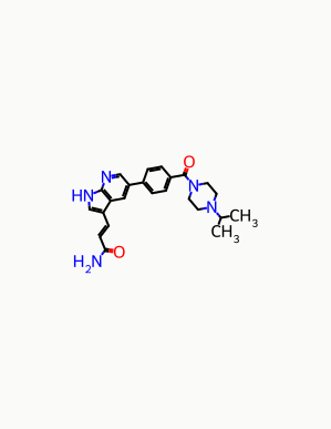 CC(C)N1CCN(C(=O)c2ccc(-c3cnc4[nH]cc(C=CC(N)=O)c4c3)cc2)CC1